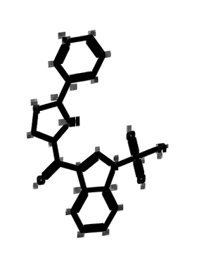 CC(C)S(=O)(=O)n1cc(C(=O)C2CSC(c3cccnc3)N2)c2ccccc21